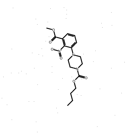 CCCCOC(=O)N1CCN(c2cccc(C(=O)OC)c2[N+](=O)[O-])CC1